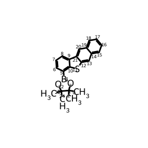 CC1(C)OB(c2cccc3c2sc2cc4ccccc4cc23)OC1(C)C